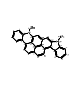 CC(C)(C)N1c2ccccc2-c2ccc3ccc4c5c(cc1c2c35)cc1c4c2ccccc2n1C(C)(C)C